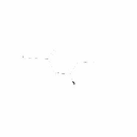 COC(=O)N[C@@H](CCC(=O)O)C(=O)O